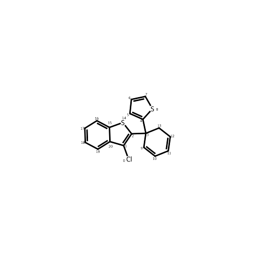 Clc1c(C2(c3cccs3)C=CC=CC2)sc2ccccc12